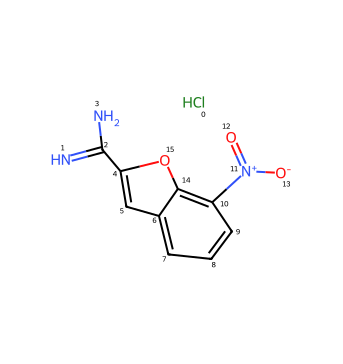 Cl.N=C(N)c1cc2cccc([N+](=O)[O-])c2o1